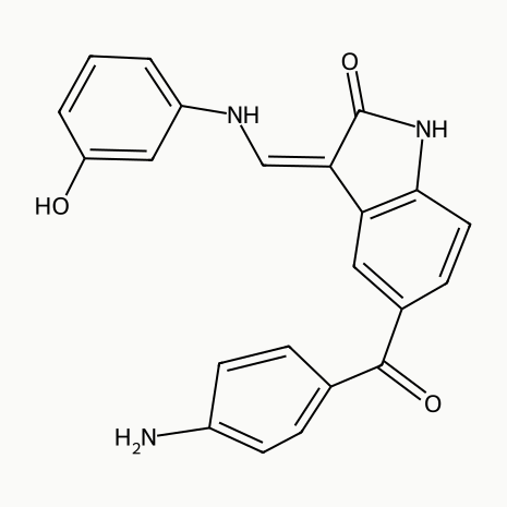 Nc1ccc(C(=O)c2ccc3c(c2)C(=CNc2cccc(O)c2)C(=O)N3)cc1